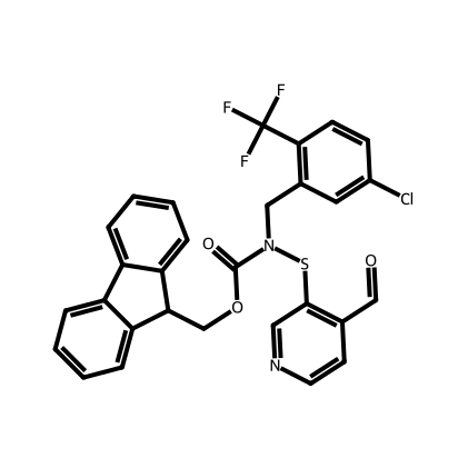 O=Cc1ccncc1SN(Cc1cc(Cl)ccc1C(F)(F)F)C(=O)OCC1c2ccccc2-c2ccccc21